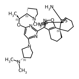 C[C@H](Oc1cc(N2CC[C@H](N(C)C)C2)nc(-c2noc3c2CCC[C@@]32CCCc3sc(N)c(C#N)c32)n1)[C@@H]1CCCN1C